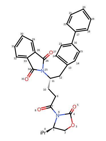 CC(C)[C@@H]1COC(=O)N1C(=O)CC[C@@H](Cc1ccc(-c2ccccc2)cc1)N1C(=O)c2ccccc2C1=O